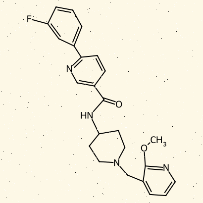 COc1ncccc1CN1CCC(NC(=O)c2ccc(-c3cccc(F)c3)nc2)CC1